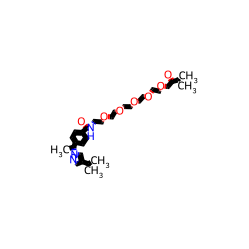 CC(C)C(=O)COCCOCCOCCOCCOCCNC(=O)c1ccc(C(C)n2cc(C(C)C)cn2)cc1